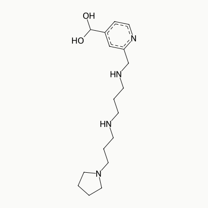 OC(O)c1ccnc(CNCCCNCCCN2CCCC2)c1